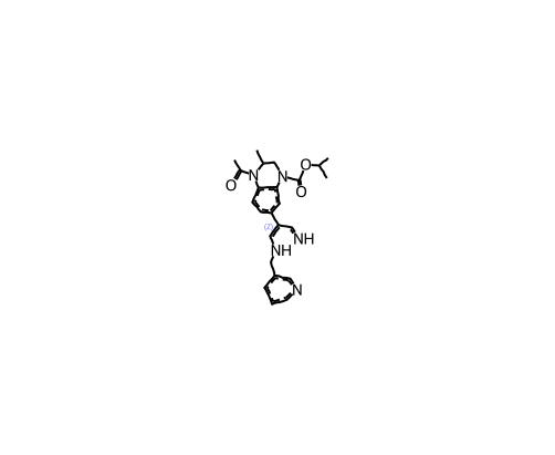 CC(=O)N1c2ccc(/C(C=N)=C/NCc3cccnc3)cc2N(C(=O)OC(C)C)CC1C